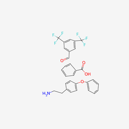 NCCc1ccc(Oc2ccccc2)cc1.O=C(O)c1ccccc1.O=Cc1cc(C(F)(F)F)cc(C(F)(F)F)c1